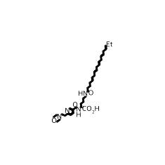 CCC=CCC=CCC=CCC=CCC=CCCCC(=O)NCCCC[C@H](NC(=O)c1ccc(CCN2CCOCC2)nc1)C(=O)O